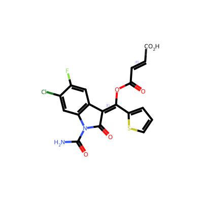 NC(=O)N1C(=O)/C(=C(/OC(=O)/C=C/C(=O)O)c2cccs2)c2cc(F)c(Cl)cc21